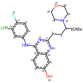 COC(CCc1nc(Nc2ccc(F)c(Cl)c2)c2ccc(O)cc2n1)N1CCOCC1